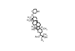 CC(=O)O[C@@H](C1C[C@@H](C)[C@H]2C(O1)[C@H](O)[C@@]1(C)C3CC[C@H]4C(C)(C)[C@@H](O[C@H]5CNCCO5)CC[C@@]45CC35CC[C@]21C)C(C)(C)O